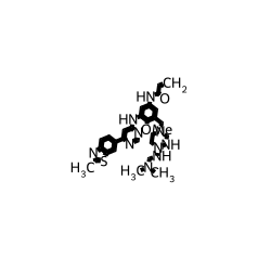 C=CC(=O)Nc1cc(CN2CCN(NCN(C)C)NC2)c(OC)c(Nc2cc(-c3ccc4nc(C)sc4c3)ncn2)c1